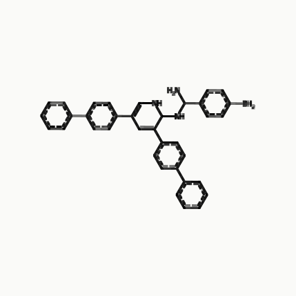 Bc1ccc(C(N)NC2NC=C(c3ccc(-c4ccccc4)cc3)C=C2c2ccc(-c3ccccc3)cc2)cc1